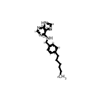 CCCCCCc1ccc(CNc2ncnc3[nH]cnc23)cc1